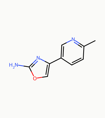 Cc1ccc(-c2coc(N)n2)cn1